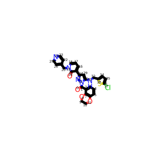 O=C(c1cccc2c1OCCO2)n1nc(-c2cccn(Cc3ccncc3)c2=O)cc1NCc1ccc(Cl)s1